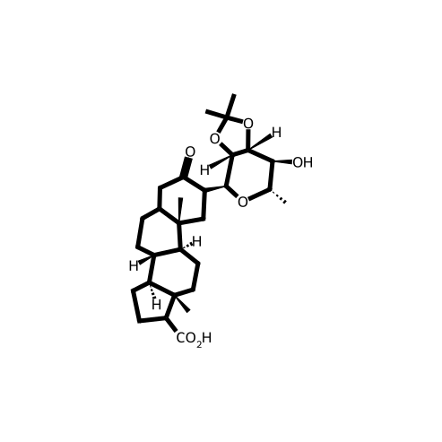 C[C@@H]1O[C@@H](C2C[C@@]3(C)C(CC[C@@H]4[C@@H]3CC[C@]3(C)C(C(=O)O)CC[C@@H]43)CC2=O)[C@@H]2OC(C)(C)O[C@@H]2[C@H]1O